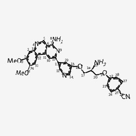 COc1cc2ncc3c(N)nc(-c4cncc(OC[C@@H](N)COc5ccc(C#N)cc5)c4)cc3c2cc1OC